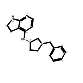 c1ccc(CN2CC[C@H](Nc3ccnc4c3CCN4)C2)cc1